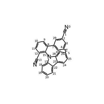 N#Cc1cc(F)cc(-c2cccc(C#N)c2-n2c3ccccc3c3ccccc32)c1